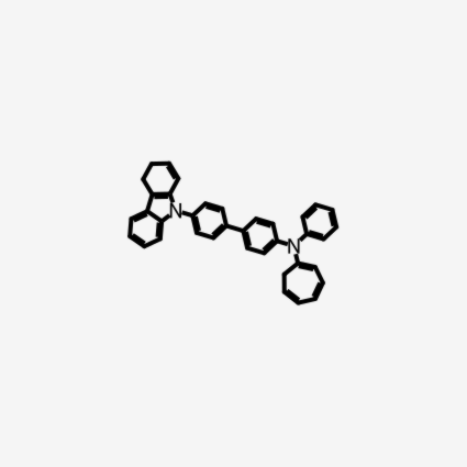 C1=CC=C(N(c2ccccc2)c2ccc(-c3ccc(-n4c5c(c6ccccc64)CCC=C5)cc3)cc2)CC=C1